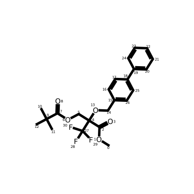 COC(=O)C(COC(=O)C(C)(C)C)(OCc1ccc(-c2ccccc2)cc1)C(F)(F)F